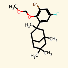 COCOc1c(Br)cc(F)cc1C1(C)CC2CC(C)(C)CC(C)(C2)C1